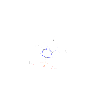 CCOOP(=O)(OOCC)c1nc(C)nc(N(CC(C)O)CC(C)O)n1